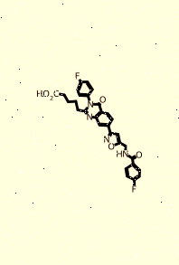 O=C(O)CCCCc1nc2cc(-c3cc(CNC(=O)c4ccc(F)cc4)on3)ccc2c(=O)n1-c1ccc(F)cc1